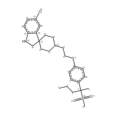 CCCC(C)(c1ccc(OCCN2CCC3(CC2)CNc2ccc(Cl)cc23)cc1)S(C)(=O)=O